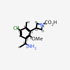 COc1c(C(C)N)cc(Cl)c(C)c1C1CN(C(=O)O)C1